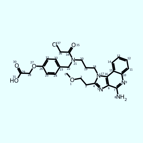 COCCc1nc2c(N)nc3ccccc3c2n1CCCN(Cc1ccc(OCC(=O)O)cc1)C(=O)CCl